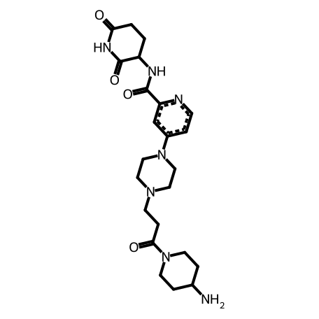 NC1CCN(C(=O)CCN2CCN(c3ccnc(C(=O)NC4CCC(=O)NC4=O)c3)CC2)CC1